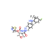 O=C(N[C@@]1(C(=O)NCc2ccc(Nc3ccc(F)cc3C(F)(F)F)cc2)CCOC1)Oc1cncs1